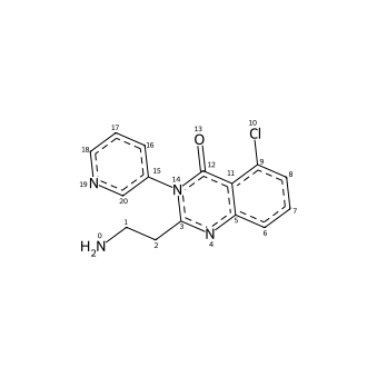 NCCc1nc2cccc(Cl)c2c(=O)n1-c1cccnc1